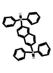 O=P(c1ccccc1)(c1ccccc1)c1ccc2cc(P(=O)(c3ccccc3)c3ccccc3)ccc2c1